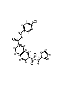 O=C(COc1ccc(Cl)cc1)N1CCc2ccc(S(=O)(=O)Nc3nccs3)cc2C1